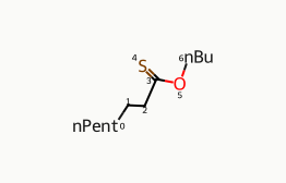 CCCCCCCC(=S)OCCCC